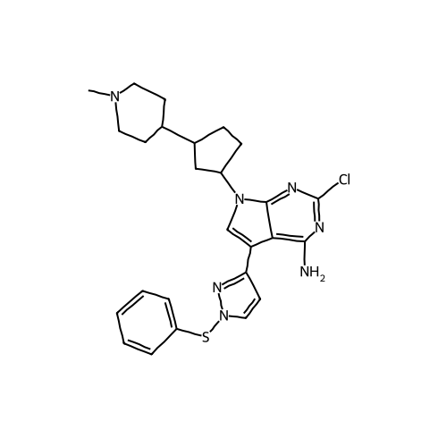 CN1CCC(C2CCC(n3cc(-c4ccn(Sc5ccccc5)n4)c4c(N)nc(Cl)nc43)C2)CC1